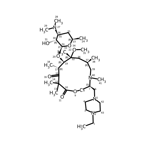 CCN1CCN(C[C@H]2COC(=O)C(C)(C)C(=O)[C@H](C)[C@@H](O[C@@H]3O[C@H](C)C[C@H](N(C)C)[C@H]3O)[C@](C)(OC)C[C@@H](C)CN2C)CC1